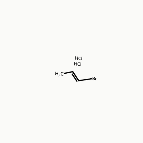 CC=CBr.Cl.Cl